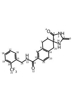 C=C1NC(=O)C2(CCc3cc(C(=O)NCc4ccccc4C(F)(F)F)ccc3C2)N1